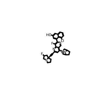 Oc1cc(-c2ncc3c(N4CC5CCC(C4)N5)cc(C#CC45CCCN4CC(F)C5)nc3c2F)c2c(Cl)cccc2c1